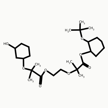 CC(C)(C)OC1CCCCC1OC(=O)C(C)(C)OCCOC(=O)C(C)(C)OC1CCCC(O)C1